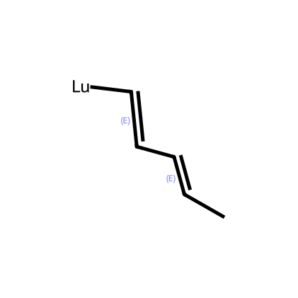 C/C=C/C=[CH]/[Lu]